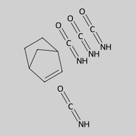 C1=CC2CCC1C2.N=C=O.N=C=O.N=C=O.N=C=O